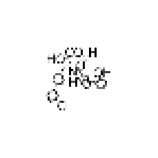 O=C(N[C@H](Cc1ccc(-c2cccc(Cl)c2)cc1)C[C@@H](O)C(=O)O)c1cc(-c2ccccc2O)on1